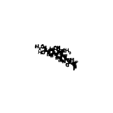 CCC(O)c1cc(C)c(-c2cc3cnc(NC(=O)[C@@H]4C[C@@H]4F)cc3n(C)c2=O)cn1